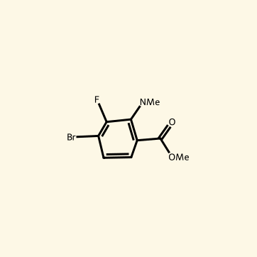 CNc1c(C(=O)OC)ccc(Br)c1F